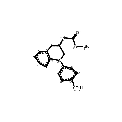 CC(C)(C)OC(=O)NC1Cc2ccccc2N(c2ccc(C(=O)O)cc2)C1